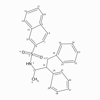 CC(NS(=O)(=O)c1ccc2ccccc2c1)C(Cc1ccccc1)c1ccccc1